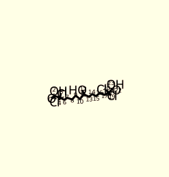 O=C(O)C(Cl)(Cl)CCCCCC(O)CCCCCC(Cl)(Cl)C(=O)O